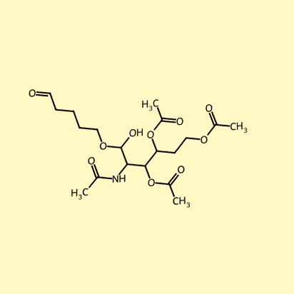 CC(=O)NC(C(O)OCCCCC=O)C(OC(C)=O)C(CCOC(C)=O)OC(C)=O